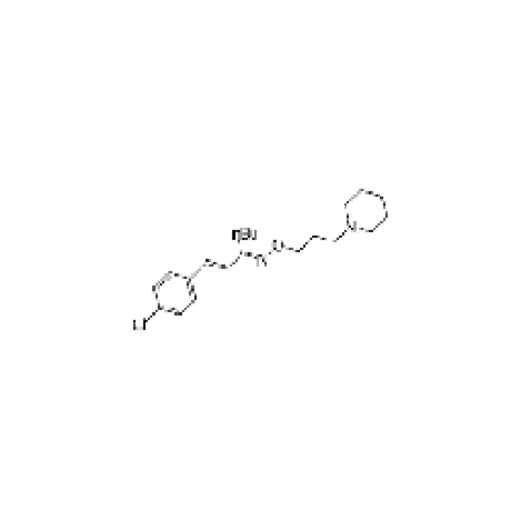 CCCCC(/C=C/c1ccc(Cl)cc1)=N\OCCCN1CCCCC1